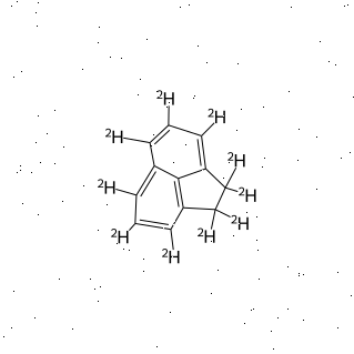 [2H]c1c([2H])c2c3c(c([2H])c([2H])c([2H])c3c1[2H])C([2H])([2H])C2([2H])[2H]